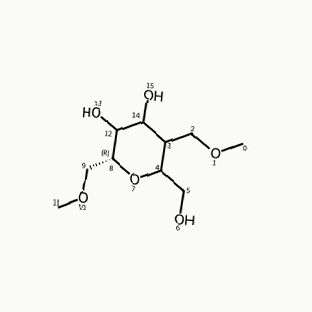 COCC1C(CO)O[C@H](COC)C(O)C1O